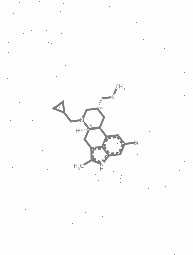 CSC[C@@H]1CC2c3cc(Br)cc4[nH]c(C)c(c34)C[C@H]2N(CC2CC2)C1